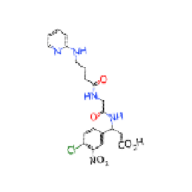 O=C(O)CC(NC(=O)CNC(=O)CCCNc1ccccn1)c1ccc(Cl)c([N+](=O)[O-])c1